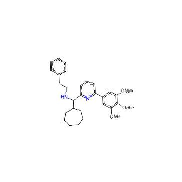 COc1cc(-c2cccc(C(NCCc3ccccc3)C3CCCCCC3)n2)cc(OC)c1OC